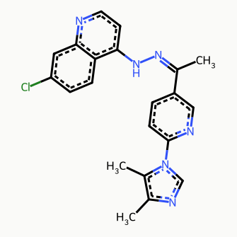 CC(=NNc1ccnc2cc(Cl)ccc12)c1ccc(-n2cnc(C)c2C)nc1